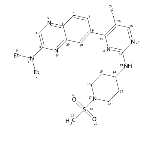 CCN(CC)c1cnc2ccc(-c3nc(NC4CCN(S(C)(=O)=O)CC4)ncc3F)cc2n1